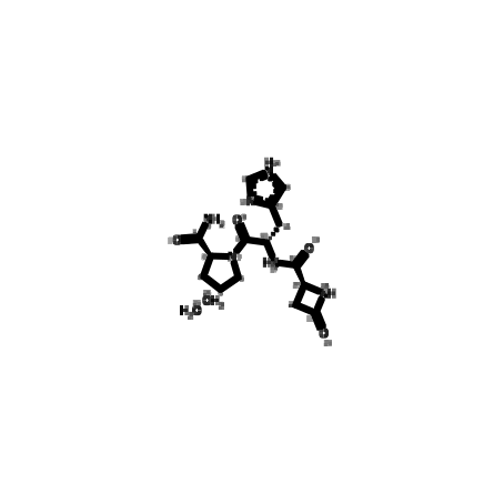 NC(=O)[C@@H]1CCCN1C(=O)[C@H](Cc1c[nH]cn1)NC(=O)[C@@H]1CC(=O)N1.O.O